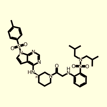 Cc1ccc(S(=O)(=O)n2ccc3c(N[C@@H]4CCCN(C(=O)CNc5ccccc5S(=O)(=O)N(CC(C)C)CC(C)C)C4)ncnc32)cc1